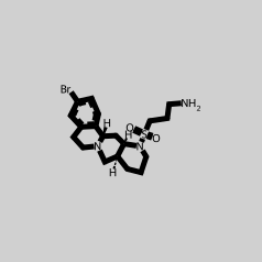 NCCCS(=O)(=O)N1CCC[C@H]2CN3CCc4cc(Br)ccc4[C@@H]3C[C@H]21